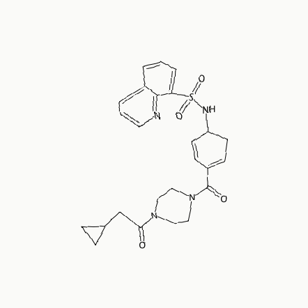 O=C(CC1CC1)N1CCN(C(=O)C2=CCC(NS(=O)(=O)c3cccc4cccnc34)C=C2)CC1